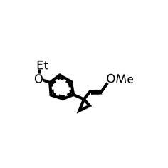 CCOc1ccc(C2(/C=C/OC)CC2)cc1